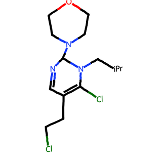 CC(C)CN1C(Cl)=C(CCCl)C=NC1N1CCOCC1